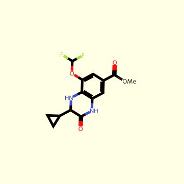 COC(=O)c1cc2c(c(OC(F)F)c1)NC(C1CC1)C(=O)N2